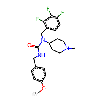 CC(C)Oc1ccc(CNC(=O)N(Cc2ccc(F)c(F)c2F)C2CCN(C)CC2)cc1